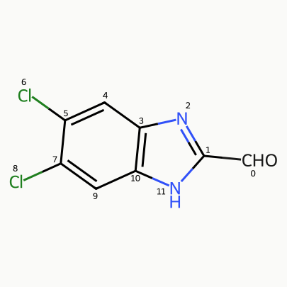 O=Cc1nc2cc(Cl)c(Cl)cc2[nH]1